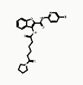 O=C(CCCCC(=O)N1CCCC1)Nc1c(C(=O)Nc2ccc(Cl)cn2)oc2ccccc12